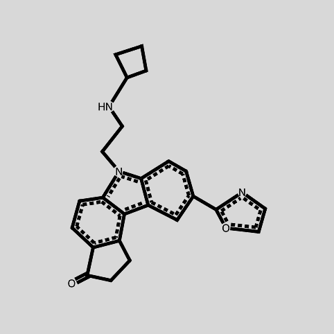 O=C1CCc2c1ccc1c2c2cc(-c3ncco3)ccc2n1CCNC1CCC1